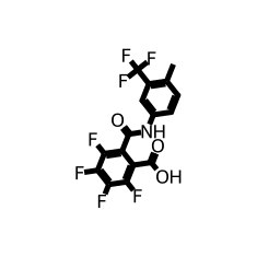 Cc1ccc(NC(=O)c2c(F)c(F)c(F)c(F)c2C(=O)O)cc1C(F)(F)F